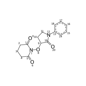 O=C1CCCC(=O)N1OC1CCN(c2ccccc2)C1=O